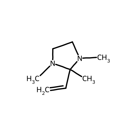 C=CC1(C)N(C)CCN1C